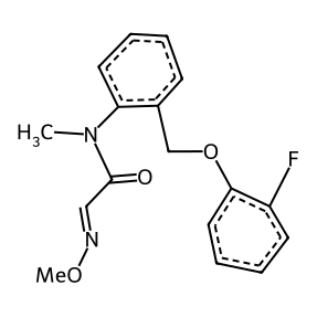 CON=CC(=O)N(C)c1ccccc1COc1ccccc1F